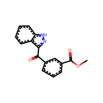 COC(=O)c1cccc(C(=O)c2n[nH]c3ccccc23)c1